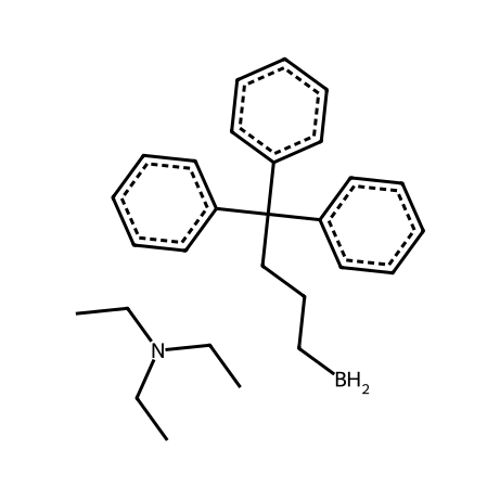 BCCCC(c1ccccc1)(c1ccccc1)c1ccccc1.CCN(CC)CC